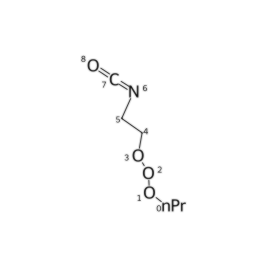 CCCOOOCCN=C=O